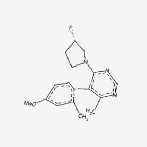 COc1ccc(-c2c(C)ncnc2N2CC[C@H](F)C2)c(C)c1